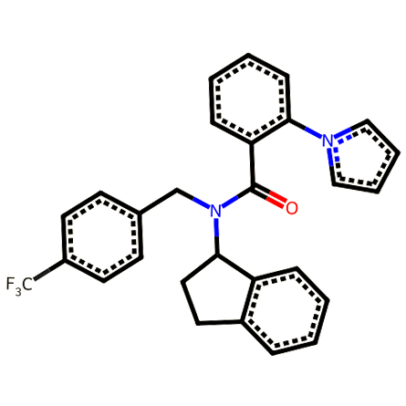 O=C(c1ccccc1-n1cccc1)N(Cc1ccc(C(F)(F)F)cc1)C1CCc2ccccc21